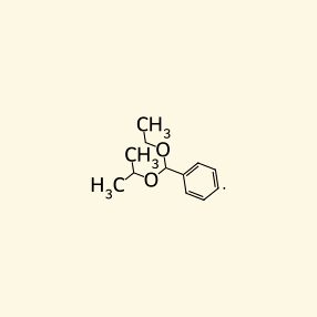 CCOC(OC(C)C)c1cc[c]cc1